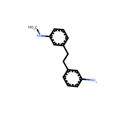 Nc1cccc(CCc2cccc(NC(=O)O)c2)c1